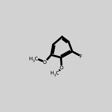 COc1c[c]cc(F)c1OC